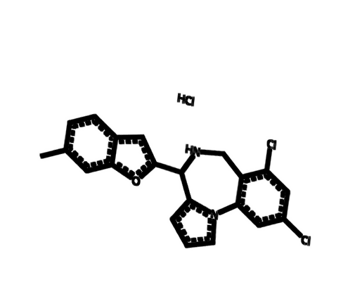 Cc1ccc2cc(C3NCc4c(Cl)cc(Cl)cc4-n4cccc43)oc2c1.Cl